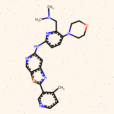 Cc1ccncc1-c1nc2cc(Nc3ccc(N4CCOCC4)c(CN(C)C)n3)ncc2s1